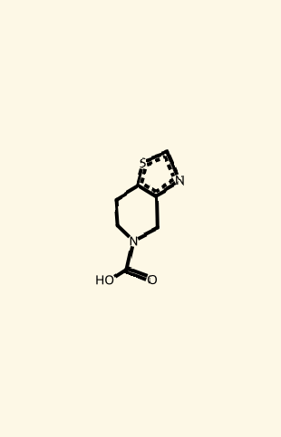 O=C(O)N1CCc2scnc2C1